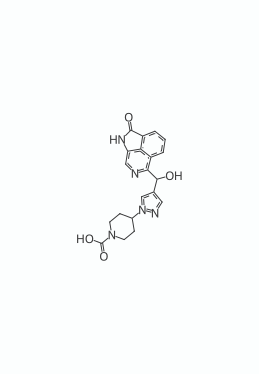 O=C1Nc2cnc(C(O)c3cnn(C4CCN(C(=O)O)CC4)c3)c3cccc1c23